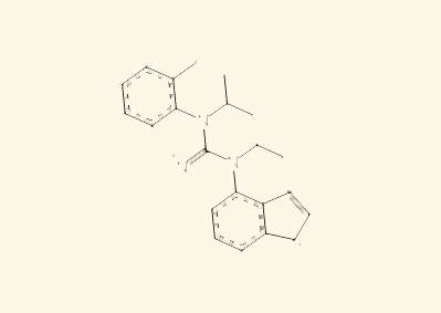 CCN(C(=N)N(c1ccccc1C)C(C)C)c1cccc2c1C=CC2